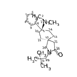 CN(C)[C@]1(c2ccccc2)CC[C@]2(CC1)CC(=O)N(CC(C)(C)C)C2